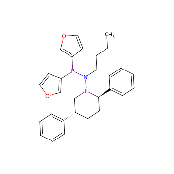 CCCCN(P(c1ccoc1)c1ccoc1)P1C[C@@H](c2ccccc2)CC[C@@H]1c1ccccc1